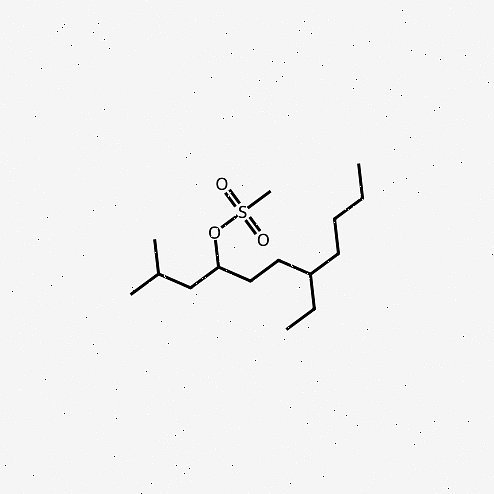 CCCCC(CC)CCC(CC(C)C)OS(C)(=O)=O